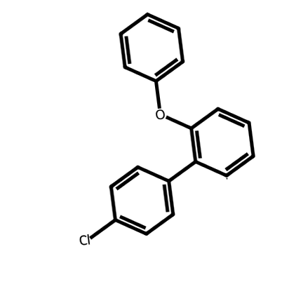 Clc1ccc(-c2[c]cccc2Oc2ccccc2)cc1